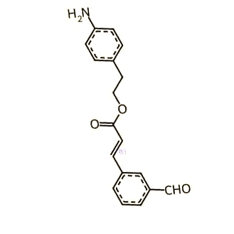 Nc1ccc(CCOC(=O)/C=C/c2cccc(C=O)c2)cc1